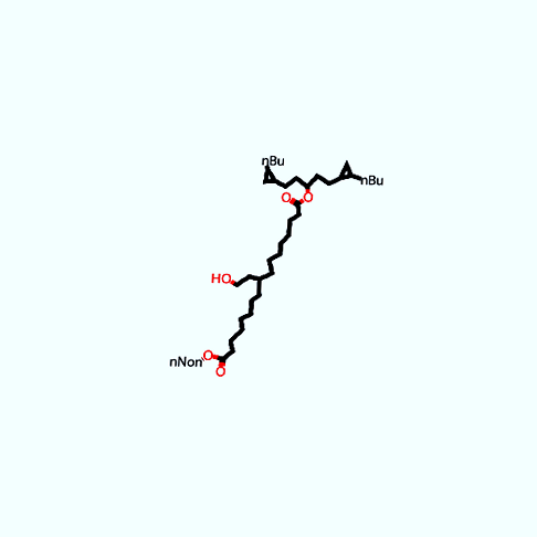 CCCCCCCCCOC(=O)CCCCCCCC(CCO)CCCCCCCC(=O)OC(CCC1CC1CCCC)CCC1CC1CCCC